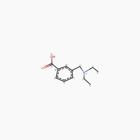 CCN(CC)Cc1cccc(C(=O)O)c1